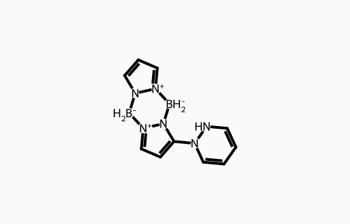 [BH2-]1n2c(N3C=CC=CN3)cc[n+]2[BH2-]n2ccc[n+]21